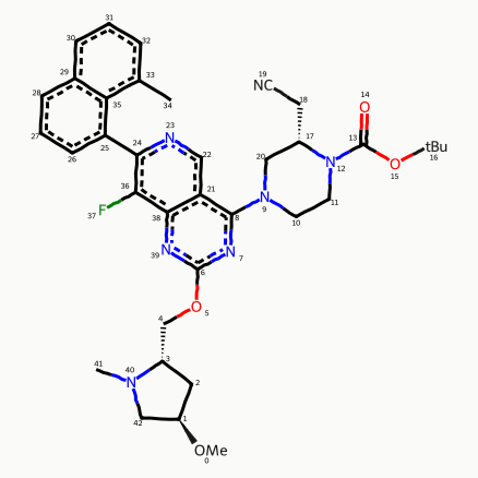 CO[C@@H]1C[C@@H](COc2nc(N3CCN(C(=O)OC(C)(C)C)[C@@H](CC#N)C3)c3cnc(-c4cccc5cccc(C)c45)c(F)c3n2)N(C)C1